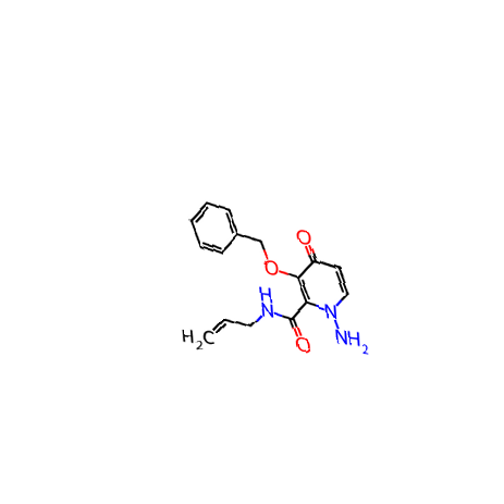 C=CCNC(=O)c1c(OCc2ccccc2)c(=O)ccn1N